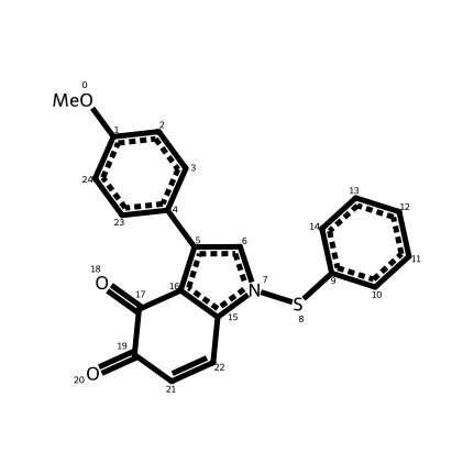 COc1ccc(-c2cn(Sc3ccccc3)c3c2C(=O)C(=O)C=C3)cc1